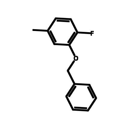 Cc1ccc(F)c(OCc2ccccc2)c1